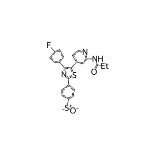 CCC(=O)Nc1cc(-c2sc(-c3ccc([S+](C)[O-])cc3)nc2-c2ccc(F)cc2)ccn1